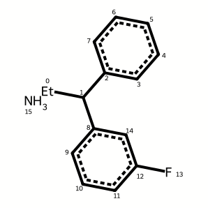 CCC(c1ccccc1)c1cccc(F)c1.N